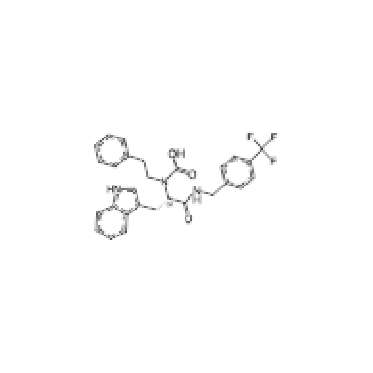 O=C(NCc1ccc(C(F)(F)F)cc1)[C@H](Cc1c[nH]c2ccccc12)N(CCc1ccccc1)C(=O)O